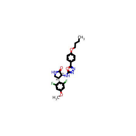 CCCCOc1ccc(-c2nnc(N[C@@H]3C(=O)NC[C@H]3c3c(F)cc(OC)cc3F)o2)cc1